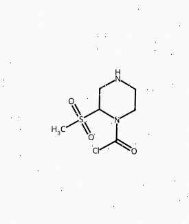 CS(=O)(=O)C1CNCCN1C(=O)Cl